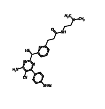 CC(=O)Nc1ccc(-c2nc(C(S)c3cccc(CCC(=O)NCCN(C)C)n3)nc(N)c2C#N)cc1